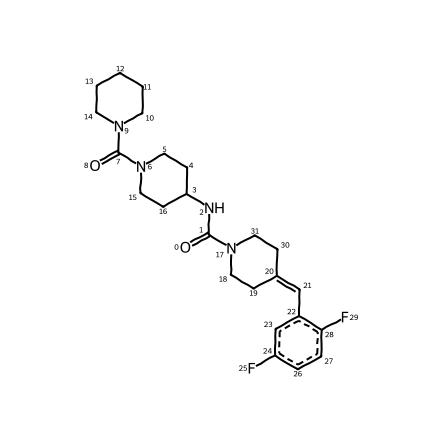 O=C(NC1CCN(C(=O)N2CCCCC2)CC1)N1CCC(=Cc2cc(F)ccc2F)CC1